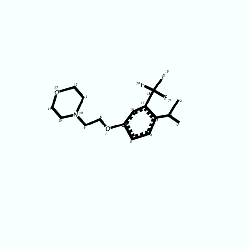 CC(C)c1ccc(OCCN2CCOCC2)cc1C(F)(F)F